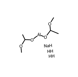 COC(C)[O][Al][O]C(C)OC.[HH].[HH].[NaH]